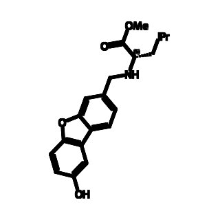 COC(=O)[C@H](CC(C)C)NCc1ccc2c(c1)oc1ccc(O)cc12